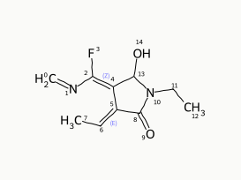 C=N/C(F)=C1\C(=C/C)C(=O)N(CC)C1O